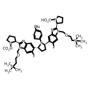 CC(C)(C)c1ccc(N2[C@@H](c3cc4nc([C@@H]5CCCN5C(=O)O)n(COCC[Si](C)(C)C)c4cc3F)CC[C@@H]2c2cc3nc([C@@H]4CCCN4C(=O)O)n(COCC[Si](C)(C)C)c3cc2F)cc1